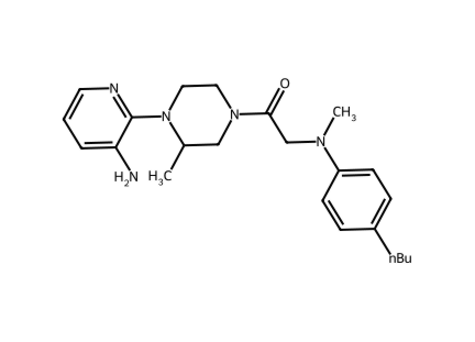 CCCCc1ccc(N(C)CC(=O)N2CCN(c3ncccc3N)C(C)C2)cc1